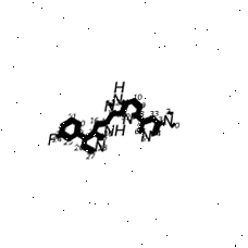 CN(C)c1cncc(-c2ccc3[nH]nc(-c4cc5c(-c6cccc(F)c6)ccnc5[nH]4)c3n2)c1